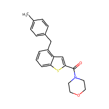 Cc1ccc(Cc2cccc3sc(C(=O)N4CCOCC4)cc23)cc1